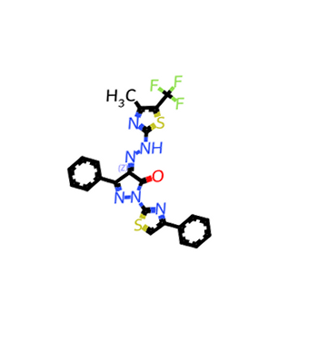 Cc1nc(N/N=C2\C(=O)N(c3nc(-c4ccccc4)cs3)N=C2c2ccccc2)sc1C(F)(F)F